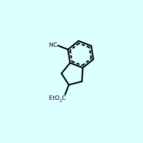 CCOC(=O)C1Cc2cccc(C#N)c2C1